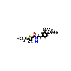 COc1ccc(CCNC(=O)c2ccc(C(=O)O)s2)cc1OC